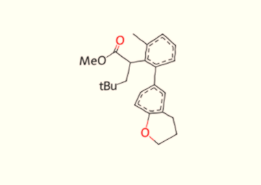 COC(=O)C(CC(C)(C)C)c1c(C)cccc1-c1ccc2c(c1)CCCO2